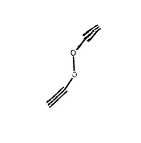 C#COOC#C